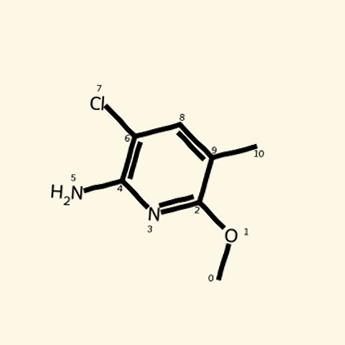 COc1nc(N)c(Cl)cc1C